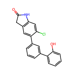 O=C1Cc2cc(-c3cccc(-c4ccccc4O)c3)c(Cl)cc2N1